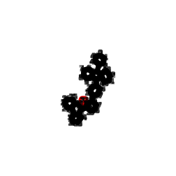 c1ccc(-c2c3ccccc3c(-c3ccc(-c4cccc5c4oc4c6ccccc6c6ccccc6c54)cc3)c3ccccc23)cc1